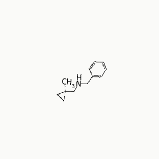 CC1(CNCc2ccccc2)CC1